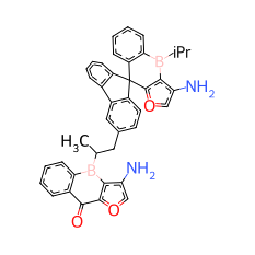 CC(C)B1c2ccccc2C2(c3ccccc3-c3cc(CC(C)B4c5ccccc5C(=O)c5occ(N)c54)ccc32)c2occ(N)c21